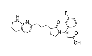 O=C(O)C[C@@H](c1cccc(F)c1)N1CCC(CCCc2ccc3c(n2)NCCC3)C1=O